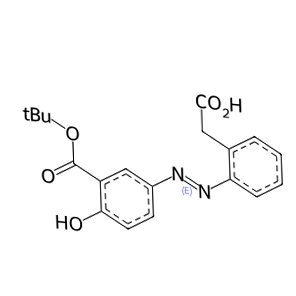 CC(C)(C)OC(=O)c1cc(/N=N/c2ccccc2CC(=O)O)ccc1O